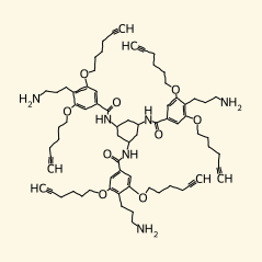 C#CCCCCOc1cc(C(=O)NC2CC(NC(=O)c3cc(OCCCCC#C)c(CCCN)c(OCCCCC#C)c3)CC(NC(=O)c3cc(OCCCCC#C)c(CCCN)c(OCCCCC#C)c3)C2)cc(OCCCCC#C)c1CCCN